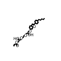 C=CC(=O)OCC(O)COCCOCC(O)COc1ccc2cc(-c3ccc(CCCCC)cc3)oc2c1